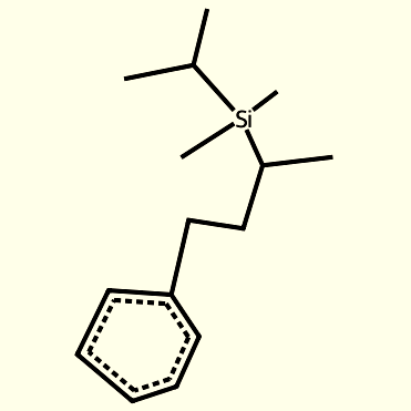 CC(C)[Si](C)(C)C(C)CCc1ccccc1